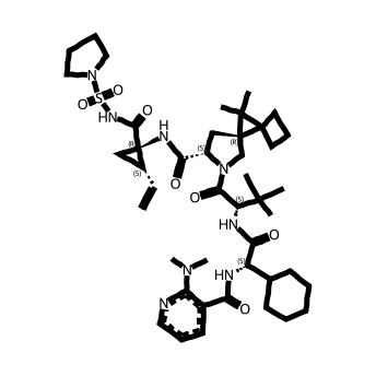 C=C[C@@H]1C[C@]1(NC(=O)[C@@H]1C[C@@]2(CN1C(=O)[C@@H](NC(=O)[C@@H](NC(=O)c1cccnc1N(C)C)C1CCCCC1)C(C)(C)C)C(C)(C)C21CCC1)C(=O)NS(=O)(=O)N1CCCC1